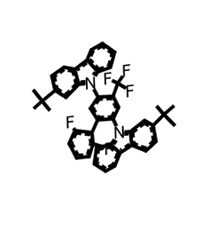 CC(C)(C)c1ccc2c3ccccc3n(-c3cc(C(F)(F)F)c(-n4c5ccccc5c5ccc(C(C)(C)C)cc54)cc3-c3c(F)cccc3F)c2c1